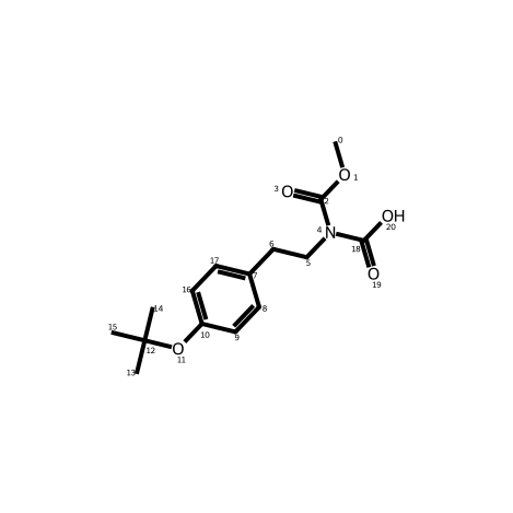 COC(=O)N(CCc1ccc(OC(C)(C)C)cc1)C(=O)O